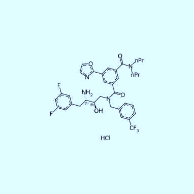 CCCN(CCC)C(=O)c1cc(C(=O)N(Cc2cccc(C(F)(F)F)c2)C[C@@H](O)[C@@H](N)Cc2cc(F)cc(F)c2)cc(-c2ncco2)c1.Cl